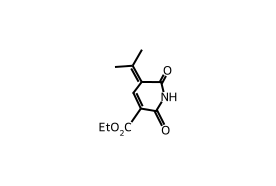 CCOC(=O)C1=CC(=C(C)C)C(=O)NC1=O